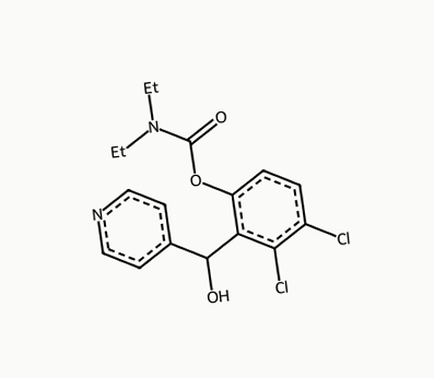 CCN(CC)C(=O)Oc1ccc(Cl)c(Cl)c1C(O)c1ccncc1